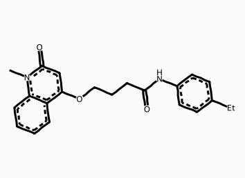 CCc1ccc(NC(=O)CCCOc2cc(=O)n(C)c3ccccc23)cc1